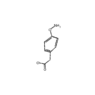 NOc1ccc(CC(=O)Cl)cc1